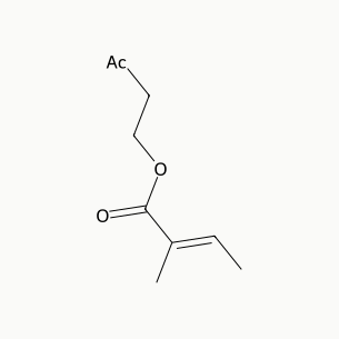 CC=C(C)C(=O)OCCC(C)=O